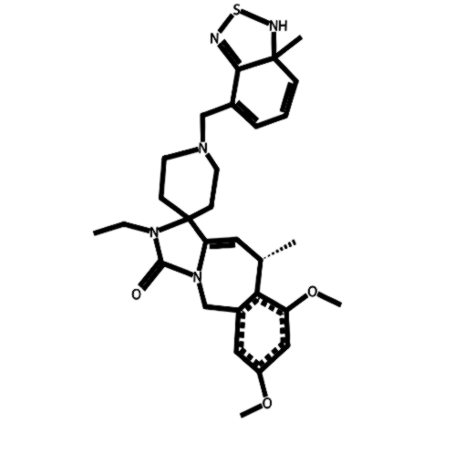 CCN1C(=O)N2Cc3cc(OC)cc(OC)c3[C@@H](C)C=C2C12CCN(CC1=CC=CC3(C)NSN=C13)CC2